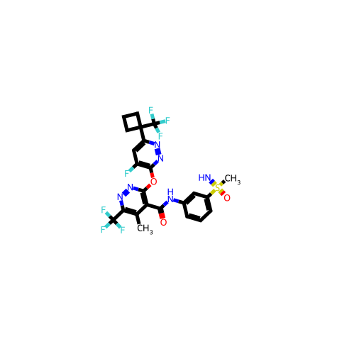 Cc1c(C(F)(F)F)nnc(Oc2nnc(C3(C(F)(F)F)CCC3)cc2F)c1C(=O)Nc1cccc(S(C)(=N)=O)c1